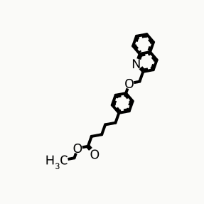 CCOC(=O)CCCCc1ccc(OCc2ccc3ccccc3n2)cc1